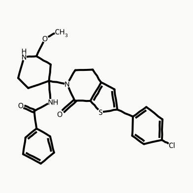 COC1CC(NC(=O)c2ccccc2)(N2CCc3cc(-c4ccc(Cl)cc4)sc3C2=O)CCN1